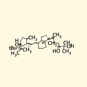 C=C1CC[C@@](O)([Si](C)(C)C(C)(C)C)C/C1=C/C=C1CCC[C@@]2(C)C1CC[C@@H]2[C@H](C)CC[C@@H](O)C(C)(C)O